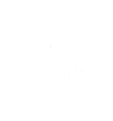 CCn1nc(C(F)(F)F)cc1-c1ccc2c(c1)cc(C1C=CCCC1)n2S(=O)(=O)C(F)(F)F